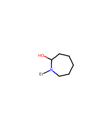 CCN1CCCCCC1O